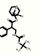 CC(C)(C)OC(=O)NCC(C(=O)O[C@H]1CN2CCC1CC2)c1ccccc1